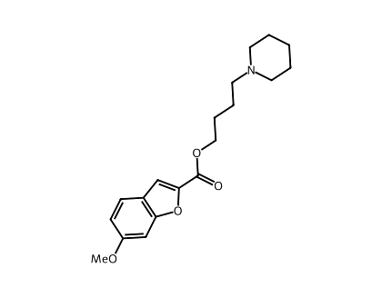 COc1ccc2cc(C(=O)OCCCCN3CCCCC3)oc2c1